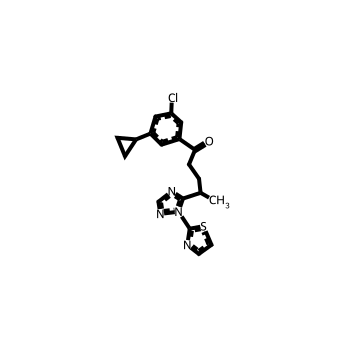 CC(CCC(=O)c1cc(Cl)cc(C2CC2)c1)c1ncnn1-c1nccs1